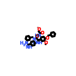 COCC(=O)Nc1cc(OCc2ccccc2)c(OC)cc1[C@H](Nc1ccc(C(=N)N)cc1)C(=O)NCc1ccccc1